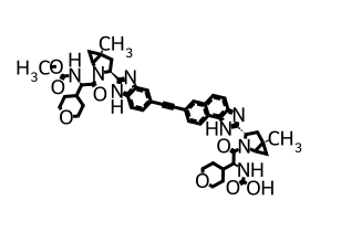 COC(=O)N[C@H](C(=O)N1C2C[C@@]2(C)C[C@H]1c1nc2cc(C#Cc3ccc4c(ccc5nc([C@@H]6C[C@@]7(C)CC7N6C(=O)[C@@H](NC(=O)O)C6CCOCC6)[nH]c54)c3)ccc2[nH]1)C1CCOCC1